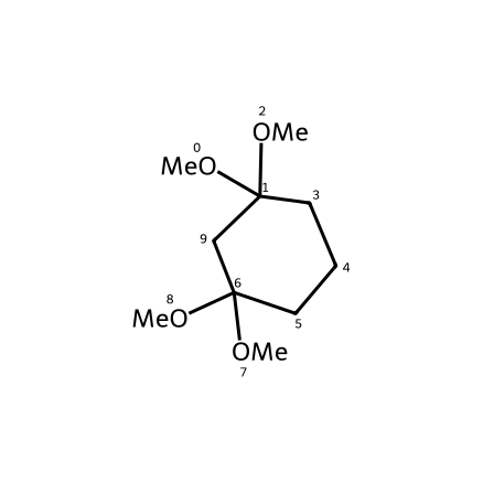 COC1(OC)CCCC(OC)(OC)C1